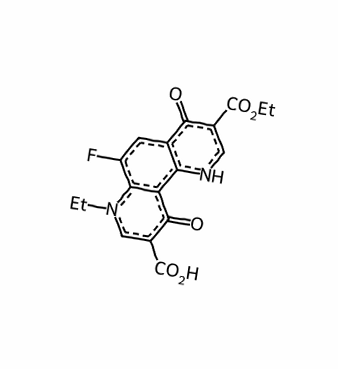 CCOC(=O)c1c[nH]c2c(cc(F)c3c2c(=O)c(C(=O)O)cn3CC)c1=O